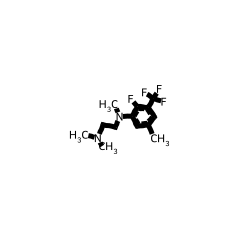 Cc1cc(N(C)CCN(C)C)c(F)c(C(F)(F)F)c1